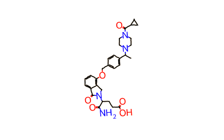 CC(c1ccc(COc2cccc3c2CN(C(CCC(=O)O)C(N)=O)C3=O)cc1)N1CCN(C(=O)C2CC2)CC1